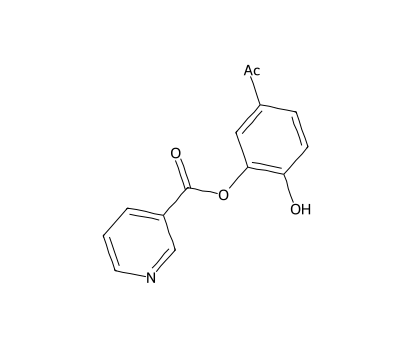 CC(=O)c1ccc(O)c(OC(=O)c2cccnc2)c1